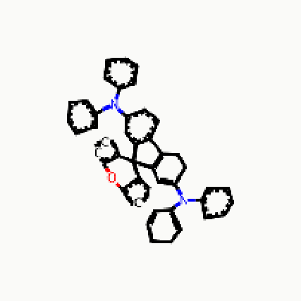 C1=CC(N(C2=CC3=C(CC2)c2ccc(N(c4ccccc4)c4ccccc4)cc2C32c3ccccc3Oc3ccccc32)c2ccccc2)=CCC1